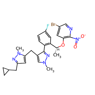 C[C@@H](Oc1cc(Br)cnc1[N+](=O)[O-])c1cc(F)ccc1-c1nn(C)cc1Cc1cc(CC2CC2)nn1C